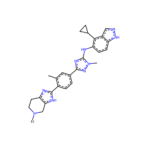 CCN1CCc2nc(-c3ccc(-c4nc(Nc5ccc6[nH]ncc6c5C5CC5)n(C)n4)cc3C)[nH]c2C1